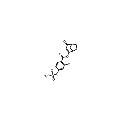 CS(=O)(=O)Oc1ccc(C(=O)OC2=CC(=O)C3CCC2C3)c(Cl)c1